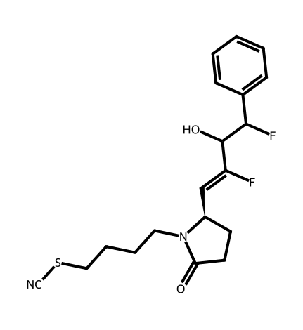 N#CSCCCCN1C(=O)CC[C@@H]1C=C(F)C(O)C(F)c1ccccc1